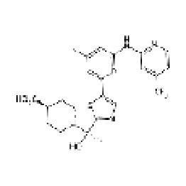 Cc1cc(Nc2cc(C(F)(F)F)ccn2)nc(-c2cnc([C@@](C)(O)[C@H]3CC[C@H](C(=O)O)CC3)s2)c1